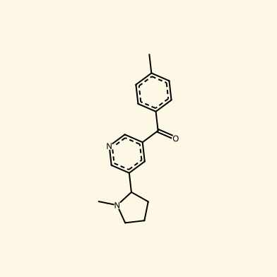 Cc1ccc(C(=O)c2cncc(C3CCCN3C)c2)cc1